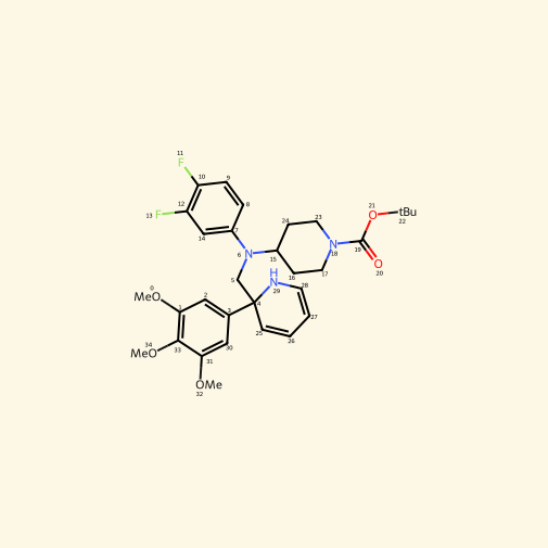 COc1cc(C2(CN(c3ccc(F)c(F)c3)C3CCN(C(=O)OC(C)(C)C)CC3)C=CC=CN2)cc(OC)c1OC